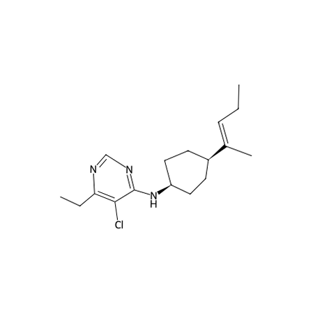 CCC=C(C)[C@H]1CC[C@@H](Nc2ncnc(CC)c2Cl)CC1